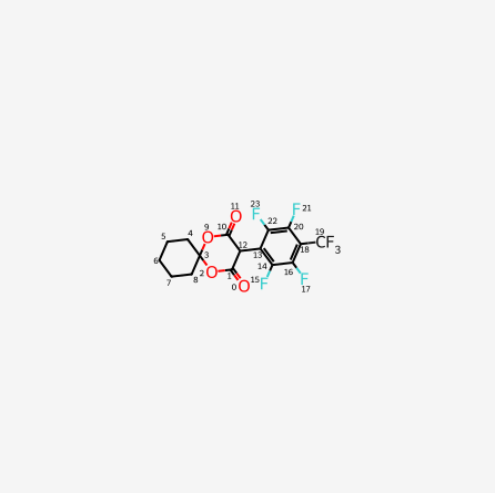 O=C1OC2(CCCCC2)OC(=O)C1c1c(F)c(F)c(C(F)(F)F)c(F)c1F